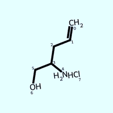 C=CCC(N)CO.Cl